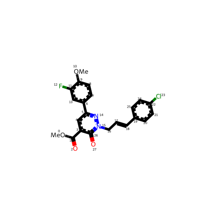 COC(=O)c1cc(-c2ccc(OC)c(F)c2)nn(C/C=C/c2ccc(Cl)cc2)c1=O